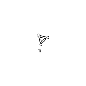 [Ti].o1oo1